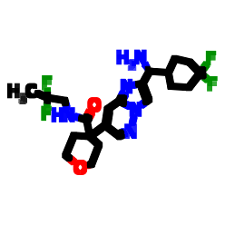 CC(F)(F)CNC(=O)C1(c2cnn3cc([C@@H](N)C4CCC(F)(F)CC4)nc3c2)CCOCC1